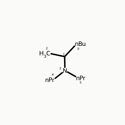 CCCCC(C)N(CCC)CCC